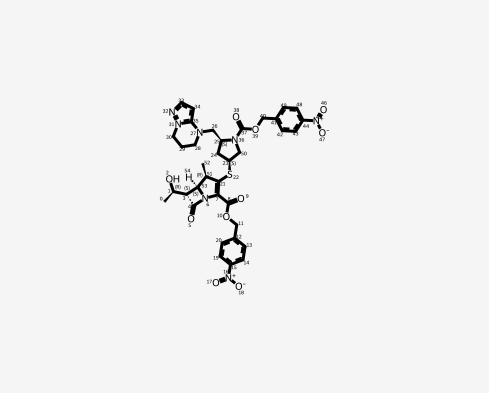 C[C@@H](O)[C@H]1C(=O)N2C(C(=O)OCc3ccc([N+](=O)[O-])cc3)=C(S[C@H]3C[C@@H](CN4CCCn5nccc54)N(C(=O)OCc4ccc([N+](=O)[O-])cc4)C3)[C@H](C)[C@H]12